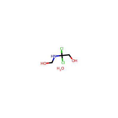 O.OCNC(Cl)(Cl)CO